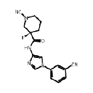 N#Cc1cccc(-n2cnc(NC(=O)[C@@]3(F)CCCN(C#N)C3)c2)c1